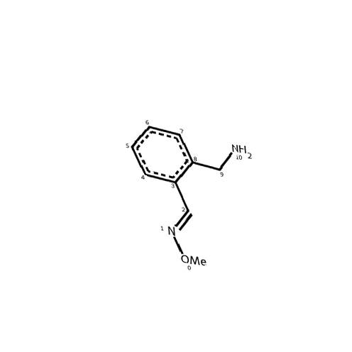 CON=Cc1c[c]ccc1CN